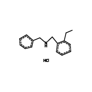 CCc1ccccc1CNCc1ccccc1.Cl